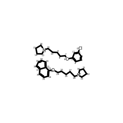 Clc1cccc(OCCCCCN2CCCC2)c1.c1ccc2c(OCCCCCN3CCCC3)cccc2c1